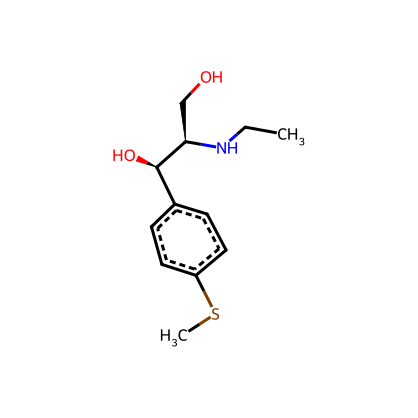 CCN[C@H](CO)[C@H](O)c1ccc(SC)cc1